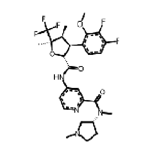 COc1c([C@H]2[C@H](C(=O)Nc3ccnc(C(=O)N(C)[C@@H]4CCN(C)C4)c3)O[C@@](C)(C(F)(F)F)[C@H]2C)ccc(F)c1F